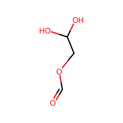 O=COCC(O)O